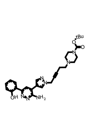 CC(C)(C)OC(=O)N1CCN(CCC#CCn2cc(-c3cc(-c4ccccc4O)nnc3N)cn2)CC1